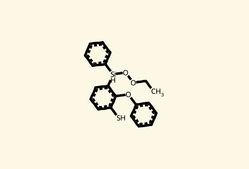 CCOO[SiH](c1ccccc1)c1cccc(S)c1Oc1ccccc1